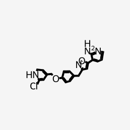 Nc1ncccc1-c1cc(Cc2ccc(OCC3=CCNC(Cl)=C3)cc2)no1